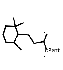 CCCCCC(C)CCC1C(C)CCCC1(C)C